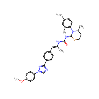 COc1ccc(N2/C(=N/C(=O)N/C(C)=C/c3ccc(-c4ncn(-c5ccc(OC(F)(F)F)cc5)n4)cc3)SCCC2C)c(C(C)C)c1